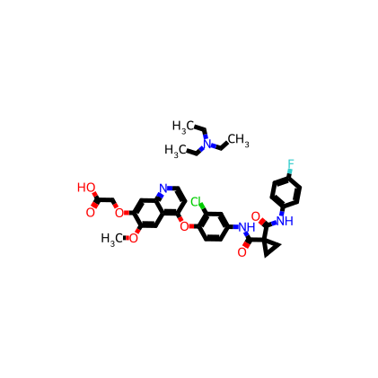 CCN(CC)CC.COc1cc2c(Oc3ccc(NC(=O)C4(C(=O)Nc5ccc(F)cc5)CC4)cc3Cl)ccnc2cc1OCC(=O)O